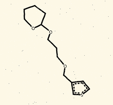 c1cc(COCCCOC2CCCCO2)cs1